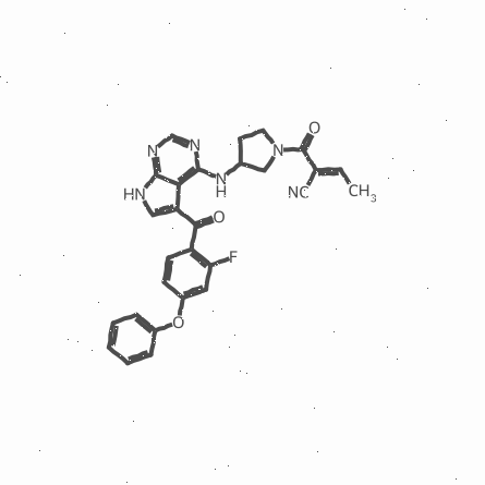 C/C=C(\C#N)C(=O)N1CCC(Nc2ncnc3[nH]cc(C(=O)c4ccc(Oc5ccccc5)cc4F)c23)C1